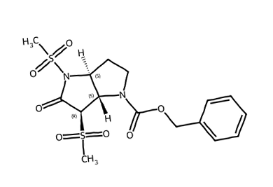 CS(=O)(=O)[C@H]1C(=O)N(S(C)(=O)=O)[C@H]2CCN(C(=O)OCc3ccccc3)[C@@H]21